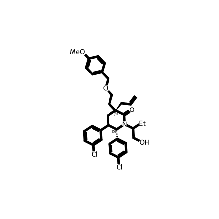 C=CC[C@]1(CCOCc2ccc(OC)cc2)CC(c2cccc(Cl)c2)[C@@H](c2ccc(Cl)cc2)N(C(CC)CO)C1=O